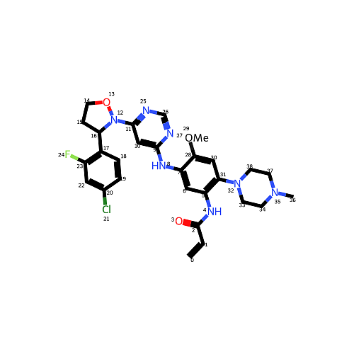 C=CC(=O)Nc1cc(Nc2cc(N3OCCC3c3ccc(Cl)cc3F)ncn2)c(OC)cc1N1CCN(C)CC1